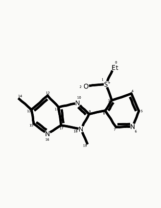 CC[S+]([O-])c1ccncc1-c1nc2cc(C)cnc2n1C